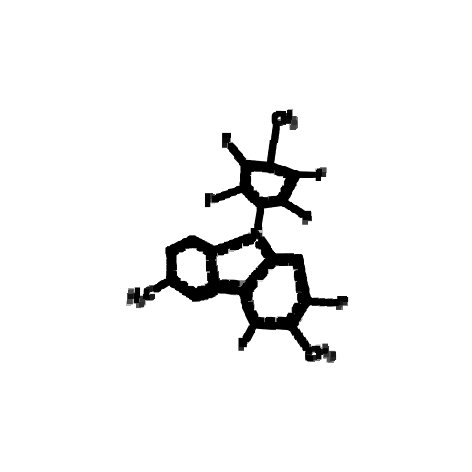 Cc1ccc2c(c1)c1c(F)c(C)c(F)cc1n2-c1c(F)c(F)c(C)c(F)c1F